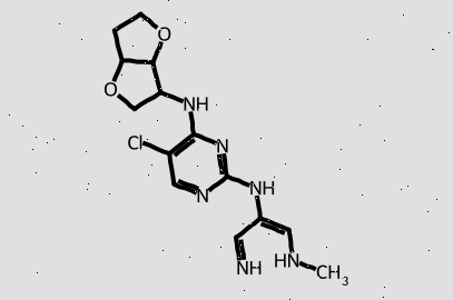 CN/C=C(\C=N)Nc1ncc(Cl)c(NC2COC3CCOC23)n1